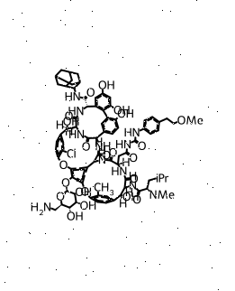 CN[C@H](CC(C)C)C(=O)N[C@H]1C(=O)N[C@@H](CC(=O)NC(=O)Nc2ccc(CCOC)cc2)C(=O)NC2C(=O)N[C@H]3C(=O)N[C@H](C(=O)N[C@H](C(=O)NC4C5CC6CC(C5)CC4C6)c4cc(O)cc(O)c4-c4cc3ccc4O)[C@H](O)c3ccc(c(Cl)c3)Oc3cc2cc(c3O[C@@H]2O[C@H](CN)[C@@H](O)[C@H](O)[C@H]2O)Oc2ccc(cc2C)[C@H]1O